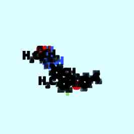 Cc1cc(C2=NN(CC(C)(C)O)NN2)cc(C)c1-c1ccc(F)c2c1CCC2Oc1ccc(C2CC2)cc1